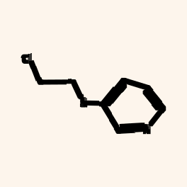 ClCCSc1cccnc1